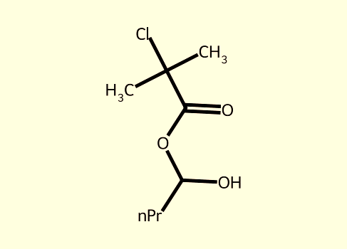 CCCC(O)OC(=O)C(C)(C)Cl